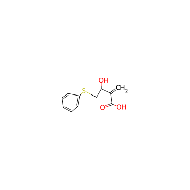 C=C(C(=O)O)C(O)CSc1ccccc1